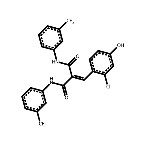 O=C(Nc1cccc(C(F)(F)F)c1)C(=Cc1ccc(O)cc1Cl)C(=O)Nc1cccc(C(F)(F)F)c1